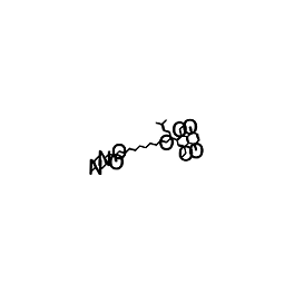 COc1cc(C(CC=C(C)C)OCCCCCCCCOC(=O)CN2CCN(C)CC2)c(OC)c2c1C(=O)C=CC2=O